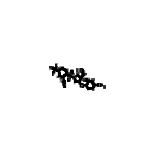 Cc1ccc(OC2CN(S(=O)(=O)c3ccc(C(F)(F)F)cc3C#N)C[C@@]2(O)CO)cc1